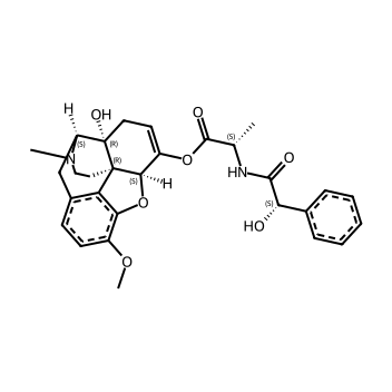 COc1ccc2c3c1O[C@@H]1C(OC(=O)[C@H](C)NC(=O)[C@@H](O)c4ccccc4)=CC[C@]4(O)[C@H](C2)N(C)CC[C@@]314